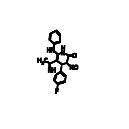 CC(=N)C1=C(Nc2ccccc2)NC(=O)[C@@H](N=O)[C@H]1c1ccc(F)cc1